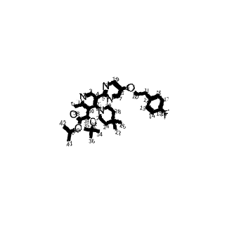 Cc1ncc(-c2ncc(OCCc3ccc(F)cc3)cn2)c(N2CCC(C)(C)CC2)c1C(OC(C)(C)C)C(=O)OC(C)C